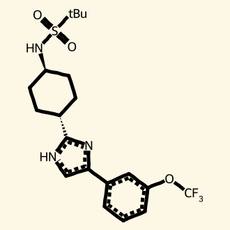 CC(C)(C)S(=O)(=O)N[C@H]1CC[C@H](c2nc(-c3cccc(OC(F)(F)F)c3)c[nH]2)CC1